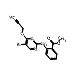 C#CCOc1nc(Nc2ccccc2C(=O)OC)ncc1Br